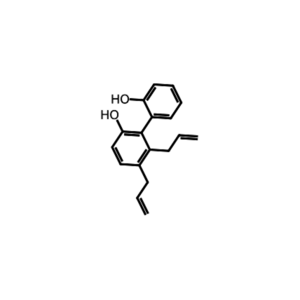 C=CCc1ccc(O)c(-c2ccccc2O)c1CC=C